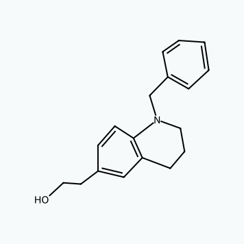 OCCc1ccc2c(c1)CCCN2Cc1ccccc1